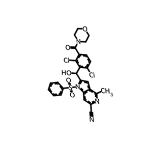 Cc1nc(C#N)cc2c1cc(C(O)c1c(Cl)ccc(C(=O)N3CCOCC3)c1Cl)n2S(=O)(=O)c1ccccc1